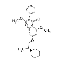 COc1oc2cc(OCC(C)N3CCCCC3)cc(OC)c2c(=O)c1-c1ccccc1